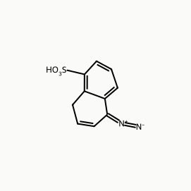 [N-]=[N+]=C1C=CCc2c1cccc2S(=O)(=O)O